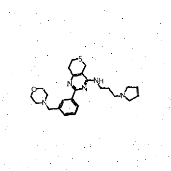 c1cc(CN2CCOCC2)cc(-c2nc3c(c(NCCCN4CCCC4)n2)CSCC3)c1